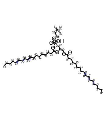 CCCC/C=C/C=C/C=C/CCCCCCCC(=O)OC[C@H](COP(=O)(O)OCC[N+](C)(C)C)OC(=O)CCCCCCC/C=C/C=C/C=C/CCCC